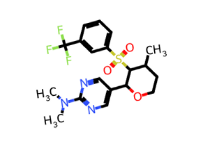 CC1CCOC(c2cnc(N(C)C)nc2)C1S(=O)(=O)c1cccc(C(F)(F)F)c1